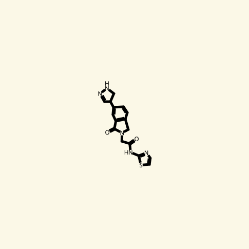 O=C(CN1Cc2ccc(C3C=NNC3)cc2C1=O)Nc1nccs1